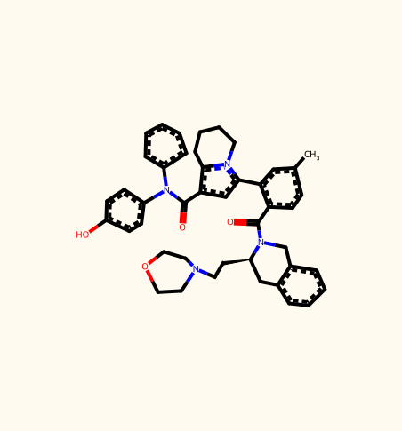 Cc1ccc(C(=O)N2Cc3ccccc3C[C@H]2CCN2CCOCC2)c(-c2cc(C(=O)N(c3ccccc3)c3ccc(O)cc3)c3n2CCCC3)c1